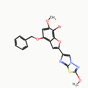 COc1nn2cc(-c3cc4c(OCc5ccccc5)cc(OC)c(Br)c4o3)nc2s1